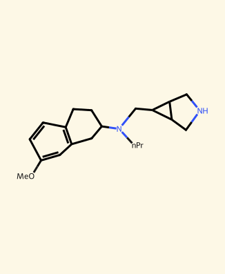 CCCN(CC1C2CNCC21)C1CCc2ccc(OC)cc2C1